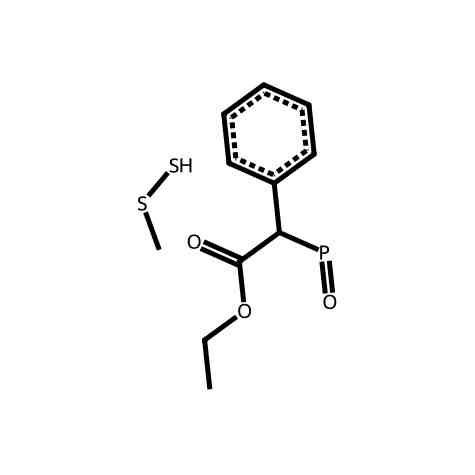 CCOC(=O)C(P=O)c1ccccc1.CSS